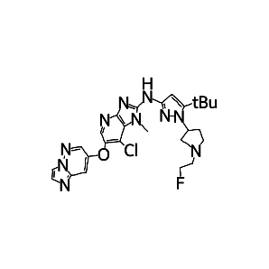 Cn1c(Nc2cc(C(C)(C)C)n(C3CCN(CCF)C3)n2)nc2ncc(Oc3cnn4ccnc4c3)c(Cl)c21